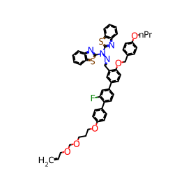 C=CCOCOCCCOc1ccc(-c2ccc(-c3ccc(OCc4ccc(OCCC)cc4)c(/C=N/N(c4nc5ccccc5s4)c4nc5ccccc5s4)c3)cc2F)cc1